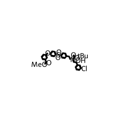 COC(=O)c1cccc(Oc2ccc(S(=O)(=O)c3ccc(CCN(C[C@H](O)c4cccc(Cl)c4)C(=O)OC(C)(C)C)cc3)cc2)c1